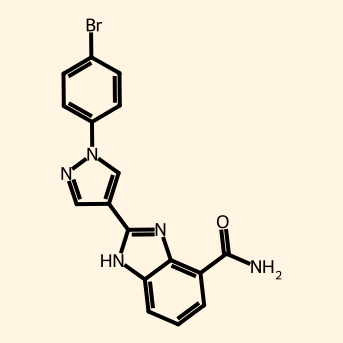 NC(=O)c1cccc2[nH]c(-c3cnn(-c4ccc(Br)cc4)c3)nc12